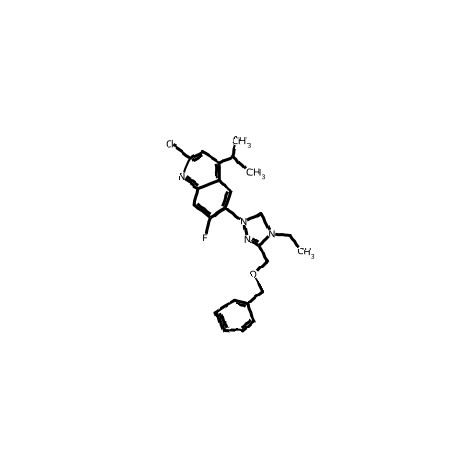 CCN1CN(c2cc3c(C(C)C)cc(Cl)nc3cc2F)N=C1COCc1ccccc1